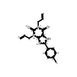 C=CCn1c(=O)c2[nH]c(-c3ccc(C)cc3)nc2n(CC=C)c1=O